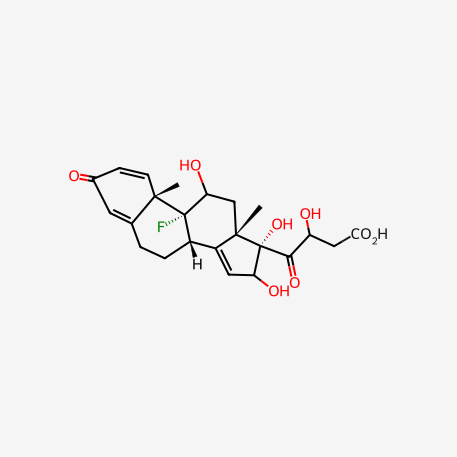 C[C@]12C=CC(=O)C=C1CC[C@H]1C3=CC(O)[C@](O)(C(=O)C(O)CC(=O)O)[C@@]3(C)CC(O)[C@@]12F